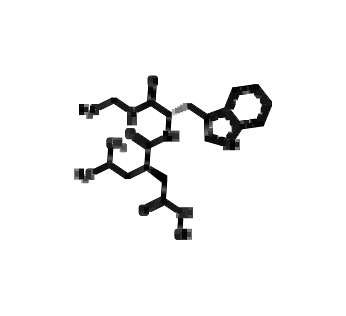 CCNC(=O)[C@H](Cc1c[nH]c2ccccc12)NC(=O)[C@@H](CC(=O)NO)CC(C)C